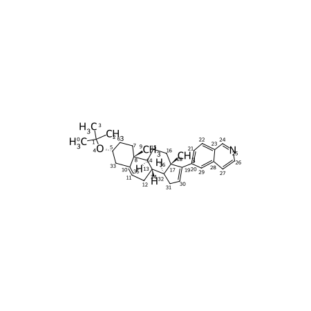 CC(C)(C)O[C@@H]1CC[C@@]2(C)C(=CC[C@@H]3[C@@H]2CC[C@]2(C)C(c4ccc5cnccc5c4)=CC[C@@H]32)C1